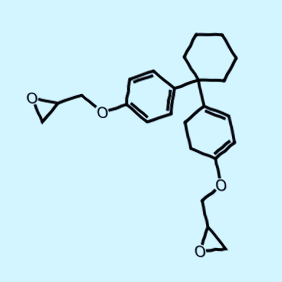 C1=C(OCC2CO2)CCC(C2(c3ccc(OCC4CO4)cc3)CCCCC2)=C1